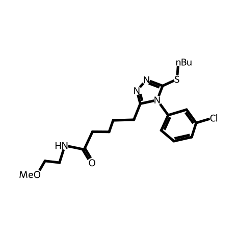 CCCCSc1nnc(CCCCC(=O)NCCOC)n1-c1cccc(Cl)c1